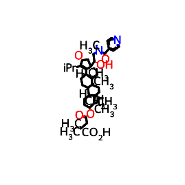 CC(C)C1=C2[C@H]3CC[C@@H]4[C@@]5(C)CC[C@@H](OC(=O)CC(C)(C)C(=O)O)C(C)(C)[C@@H]5CC[C@@]4(C)[C@]3(C)CC[C@@]2([C@@H](O)CN(C)C(=O)c2ccncc2)CC1=O